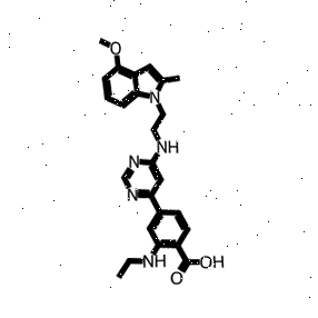 CCNc1cc(-c2cc(NCCn3c(C)cc4c(OC)cccc43)ncn2)ccc1C(=O)O